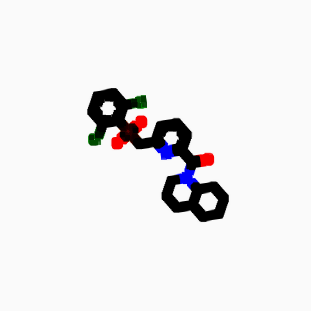 O=C(c1cccc(CS(=O)(=O)c2c(Cl)cccc2Cl)n1)N1CCCC2CCCCC21